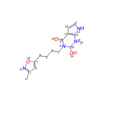 Cc1cc(CCCCN2C(=O)c3cc[nH]c3N(C)C2O)on1